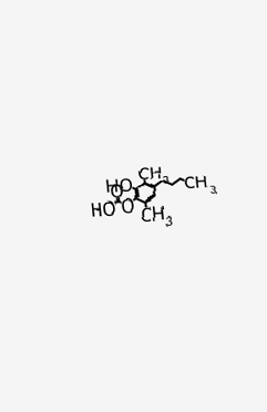 CCCCc1cc(C)c(OC(=O)O)c(O)c1C